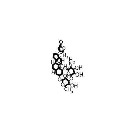 CC1OC(O[C@H]2C(O)C(C)OC(O[C@H]3CCC4(C)C5CCC6(C)[C@@H](C7=CC(=O)OC7)CC[C@]6(O)[C@@H]5CC[C@H]4C3)[C@H]2O)[C@@H](O)[C@@H](O)C1N